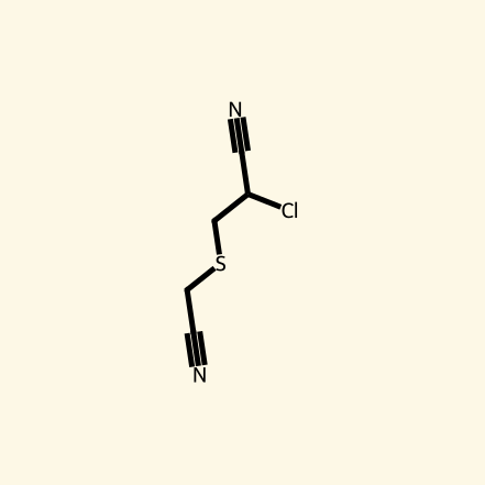 N#CCSCC(Cl)C#N